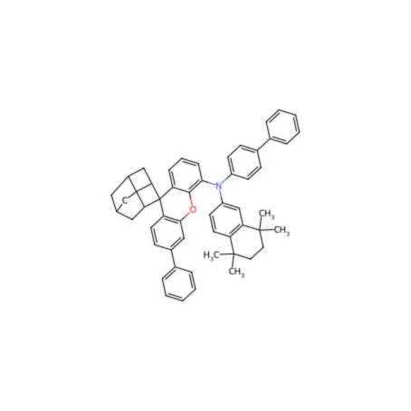 CC1(C)CCC(C)(C)c2cc(N(c3ccc(-c4ccccc4)cc3)c3cccc4c3Oc3cc(-c5ccccc5)ccc3C43C4CC5CC6CC3C64C5)ccc21